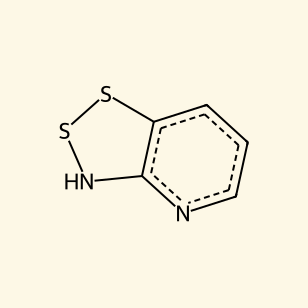 c1cnc2c(c1)SSN2